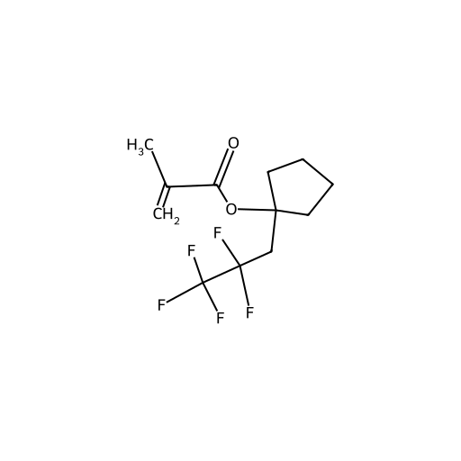 C=C(C)C(=O)OC1(CC(F)(F)C(F)(F)F)CCCC1